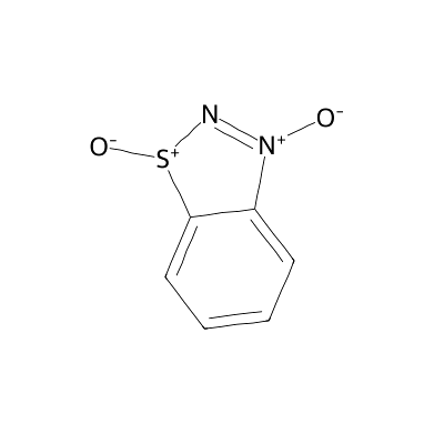 [O-][n+]1n[s+]([O-])c2ccccc21